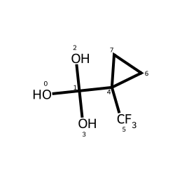 OC(O)(O)C1(C(F)(F)F)CC1